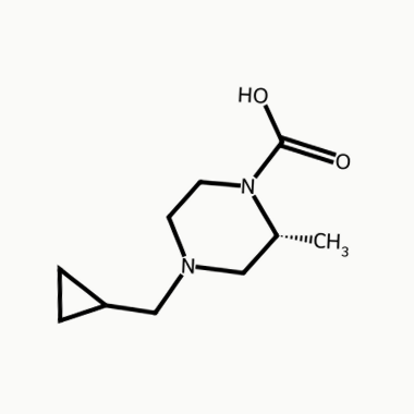 C[C@@H]1CN(CC2CC2)CCN1C(=O)O